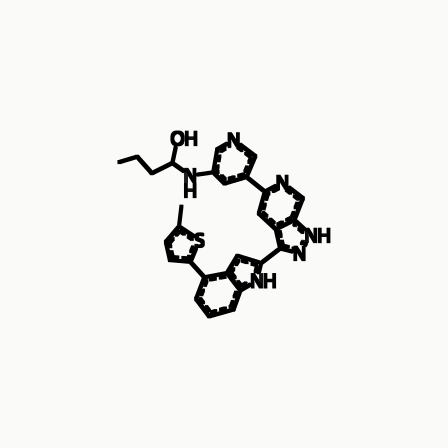 CCCC(O)Nc1cncc(-c2cc3c(-c4cc5c(-c6ccc(C)s6)cccc5[nH]4)n[nH]c3cn2)c1